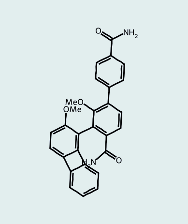 COc1ccc2c(c1-c1c(C(N)=O)ccc(-c3ccc(C(N)=O)cc3)c1OC)-c1ccccc1-2